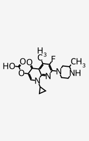 Cc1c(F)c(N2CCNC(C)C2)nc2c1c(=O)c(OC(=O)O)cn2C1CC1